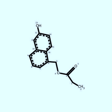 CCC(=O)OCc1cccc2cc(O)ccc12